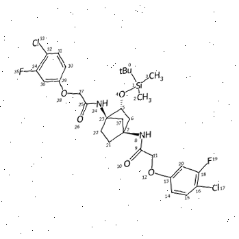 CC(C)(C)[Si](C)(C)O[C@@H]1C[C@]2(NC(=O)COc3ccc(Cl)c(F)c3)CC[C@@]1(NC(=O)COc1ccc(Cl)c(F)c1)C2